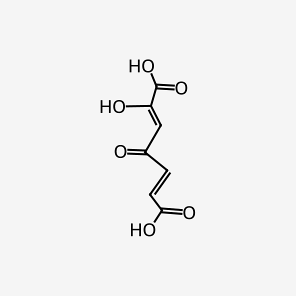 O=C(O)/C=C/C(=O)/C=C(\O)C(=O)O